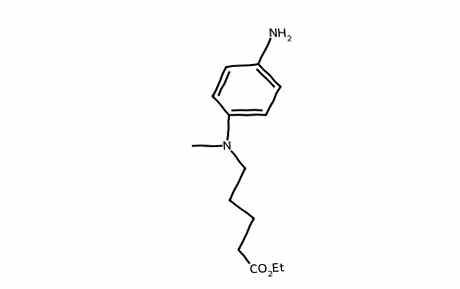 CCOC(=O)CCCCN(C)c1ccc(N)cc1